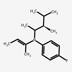 C/C=C(\C)N(c1ccc(F)cc1)C(C)[C@H](C)C(C)C